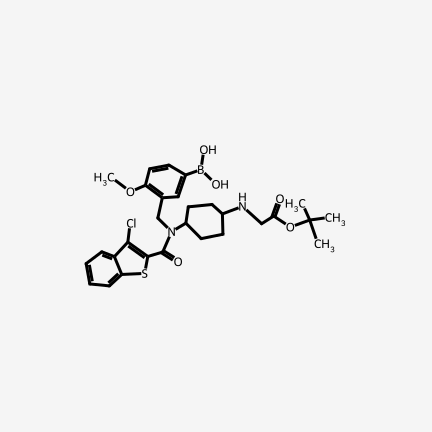 COc1ccc(B(O)O)cc1CN(C(=O)c1sc2ccccc2c1Cl)C1CCC(NCC(=O)OC(C)(C)C)CC1